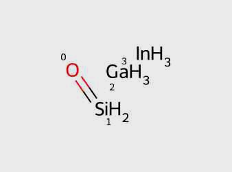 O=[SiH2].[GaH3].[InH3]